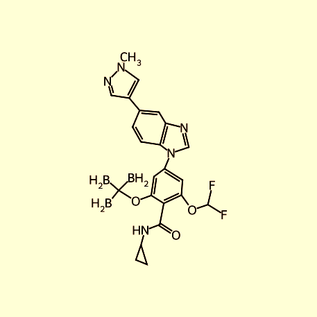 BC(B)(B)Oc1cc(-n2cnc3cc(-c4cnn(C)c4)ccc32)cc(OC(F)F)c1C(=O)NC1CC1